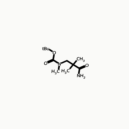 CN(CC(C)(C)C(N)=O)C(=O)OC(C)(C)C